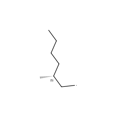 [CH2]C[C@H](C)CCCC